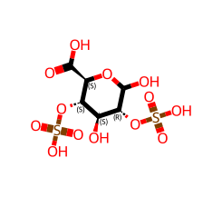 O=C(O)[C@H]1OC(O)[C@H](OS(=O)(=O)O)[C@@H](O)[C@@H]1OS(=O)(=O)O